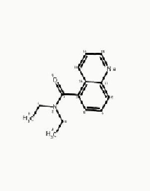 CCN(CC)C(=O)c1cccc2ncccc12